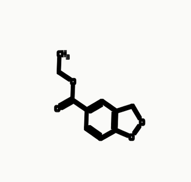 CCOC(=O)c1ccc2c(c1)COO2